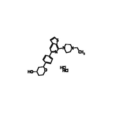 CCN1CCN(c2nc(-c3ccc(C4CC(O)CCO4)cc3)cc3ccsc23)CC1.Cl.Cl